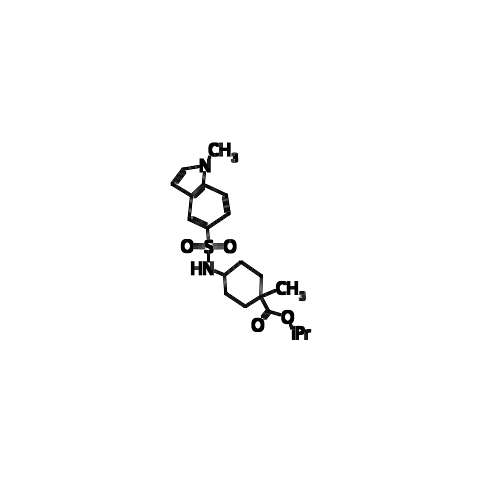 CC(C)OC(=O)C1(C)CCC(NS(=O)(=O)c2ccc3c(ccn3C)c2)CC1